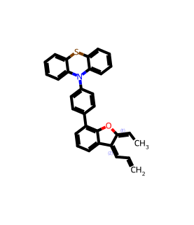 C=C/C=c1\c(=C/C)oc2c(-c3ccc(N4c5ccccc5Sc5ccccc54)cc3)cccc12